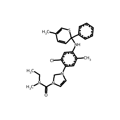 CCN(C)C(=O)N1C=CN(c2cc(C)c(NC3(c4ccccc4)C=CC(C)=CS3)cc2Cl)C1